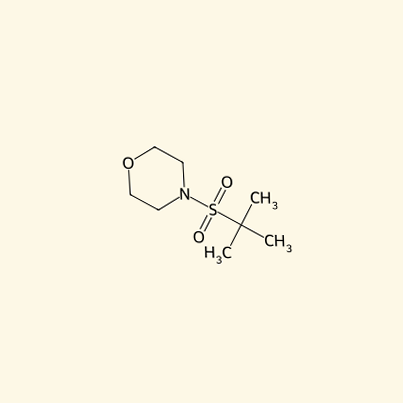 CC(C)(C)S(=O)(=O)N1CCOCC1